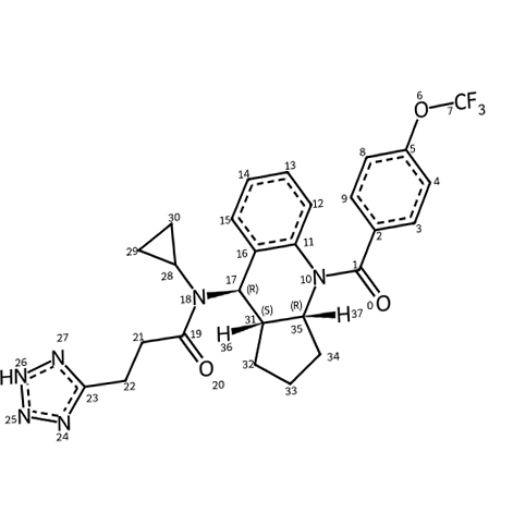 O=C(c1ccc(OC(F)(F)F)cc1)N1c2ccccc2[C@H](N(C(=O)CCc2nn[nH]n2)C2CC2)[C@H]2CCC[C@H]21